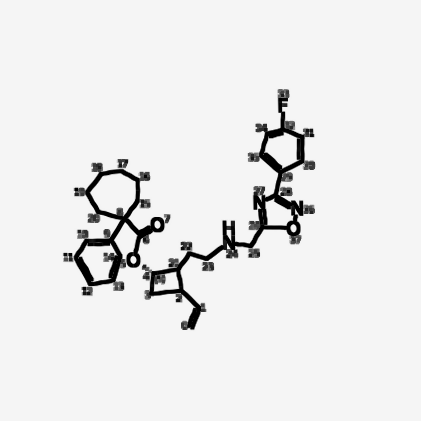 C=CC1C[C@H](OC(=O)C2(c3ccccc3)CCCCCC2)C1CCNCc1nc(-c2ccc(F)cc2)no1